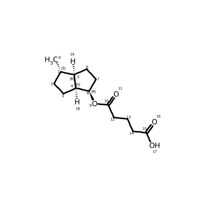 C[C@H]1CC[C@H]2[C@@H]1CC[C@H]2OC(=O)CCCC(=O)O